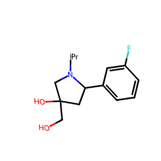 CC(C)N1CC(O)(CO)CC1c1cccc(F)c1